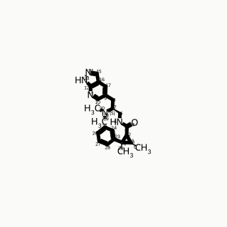 C[C@H]1C(C(=O)NC[C@H](Cc2cnc3[nH]ncc3c2)N(C)C)[C@]1(C)c1ccccc1